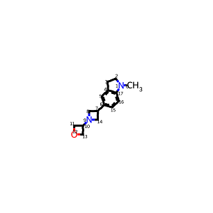 CN1CCc2cc(C3CN(C4COC4)C3)ccc21